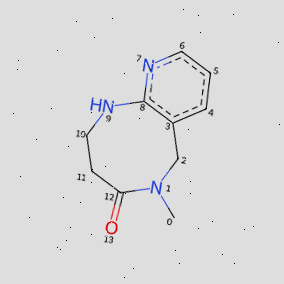 CN1Cc2cccnc2NCCC1=O